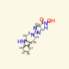 O=C(NO)c1cnc(N2CCc3[nH]c4ccccc4c3CC2)nc1